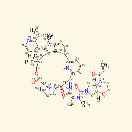 C=CC(=O)N1CCO[C@H]2CN(C(=O)N(C)C(C(=O)N[C@H]3Cc4cccc(n4)-c4ccc5c(c4)c(c(-c4cccnc4[C@H](C)OC)n5CC)CC(C)(C)COC(=O)[C@@H]4CCCN(N4)C3=O)C(C)C)C[C@H]21